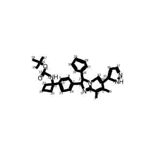 CC1=C(C)C2=NC(c3ccc(C4(NC(=O)OC(C)(C)C)CCC4)cc3)C(c3ccccc3)N2C=C1c1ccn[nH]1